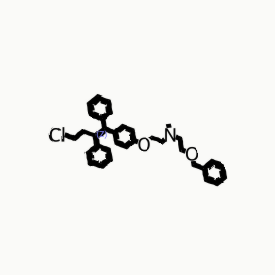 CN(CCOCc1ccccc1)CCOc1ccc(/C(=C(/CCCl)c2ccccc2)c2ccccc2)cc1